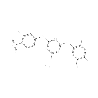 Nc1cc(Nc2nc(Cl)nc(Oc3cc(Cl)c(Cl)cc3Cl)n2)ccc1S(=O)(=O)[O-].[Na+]